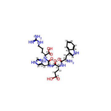 N=C(N)NCCC[C@H](NC(=O)[C@H](Cc1c[nH]cn1)NC(=O)[C@H](CCC(=O)O)NC(=O)[C@@H](N)Cc1c[nH]c2ccccc12)C(=O)O